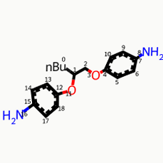 CCCCC(COc1ccc(N)cc1)Oc1ccc(N)cc1